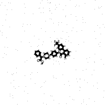 COC(=O)C(c1ccccc1)N1CCN(c2ccc(NC(=O)c3c(C)cccc3-c3ccc(C(F)(F)F)cc3)cc2)CC1